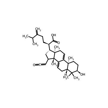 C=C(CC[C@@H](C(=O)O)[C@H]1CC(C=C=O)[C@@]2(C)C3=CC[C@H]4C(C)(C)[C@H](O)CC[C@]4(C)C3=CC[C@]12C)C(C)C